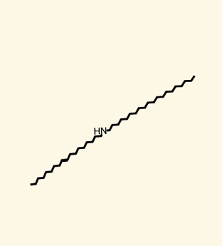 CCCCCCCC/C=C/CCCCCCCCNCCCCCCCCCCCCCCCCCCCC